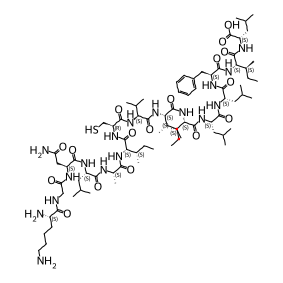 CC[C@H](C)[C@H](NC(=O)[C@H](C)NC(=O)[C@H](CC(C)C)NC(=O)[C@H](CC(N)=O)NC(=O)CNC(=O)[C@@H](N)CCCCN)C(=O)N[C@@H](CS)C(=O)N[C@H](C(=O)N[C@H](C(=O)N[C@H](C(=O)N[C@@H](CC(C)C)C(=O)N[C@@H](CC(C)C)C(=O)N[C@@H](Cc1ccccc1)C(=O)N[C@H](C(=O)N[C@@H](CC(C)C)C(=O)O)[C@@H](C)CC)[C@@H](C)CC)[C@@H](C)CC)C(C)C